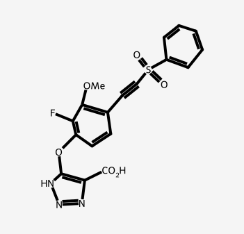 COc1c(C#CS(=O)(=O)c2ccccc2)ccc(Oc2[nH]nnc2C(=O)O)c1F